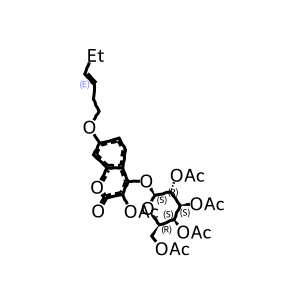 CC/C=C/CCOc1ccc2c(O[C@@H]3O[C@H](COC(C)=O)[C@H](OC(C)=O)[C@H](OC(C)=O)[C@H]3OC(C)=O)c(OC(C)=O)c(=O)oc2c1